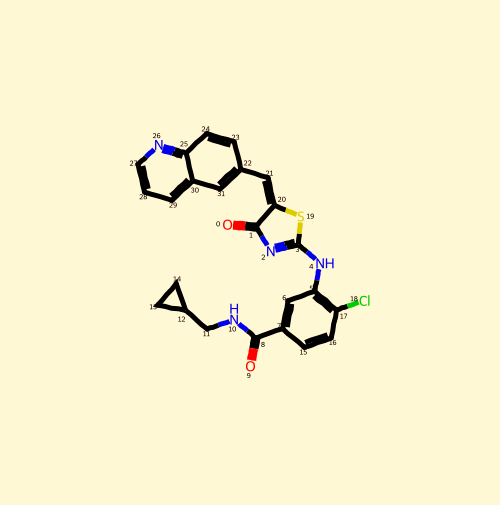 O=C1N=C(Nc2cc(C(=O)NCC3CC3)ccc2Cl)SC1=Cc1ccc2ncccc2c1